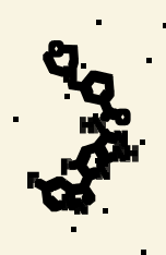 O=C(Nc1n[nH]c2nc(-c3cnn4ccc(F)cc34)c(F)cc12)c1cccc(CN2CCOCC2)c1